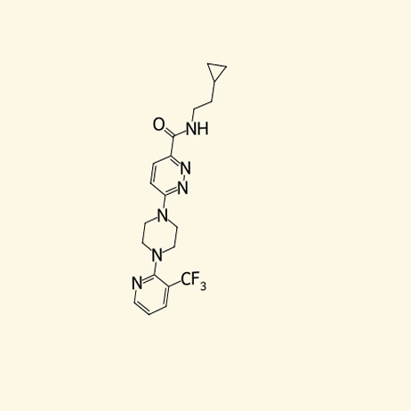 O=C(NCCC1CC1)c1ccc(N2CCN(c3ncccc3C(F)(F)F)CC2)nn1